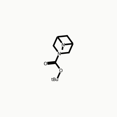 CN1C2CC1CN(C(=O)OC(C)(C)C)C2